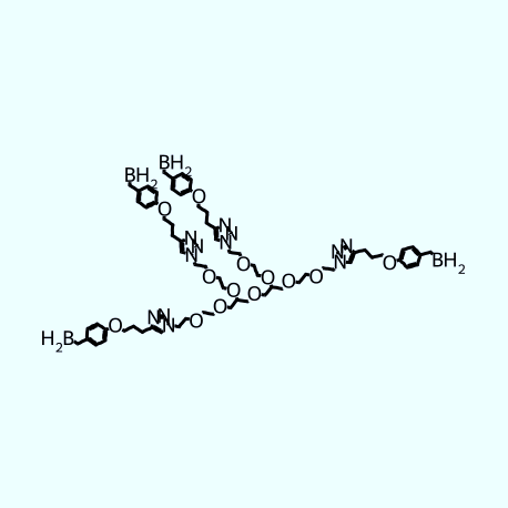 BCc1ccc(OCCCc2cn(CCOCCOCC(COCC(COCCOCCn3cc(CCCOc4ccc(CB)cc4)nn3)OCCOCCn3cc(CCCOc4ccc(CB)cc4)nn3)OCCOCCn3cc(CCCOc4ccc(CB)cc4)nn3)nn2)cc1